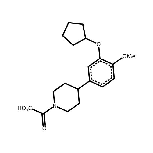 COc1ccc(C2CCN(C(=O)C(=O)O)CC2)cc1OC1CCCC1